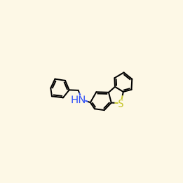 c1ccc(CNc2ccc3sc4ccccc4c3c2)cc1